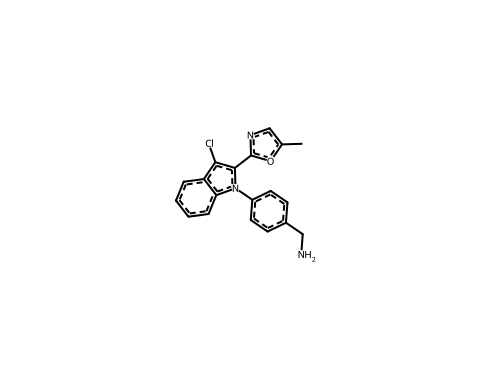 Cc1cnc(-c2c(Cl)c3ccccc3n2-c2ccc(CN)cc2)o1